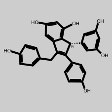 Oc1ccc(CC2=C(c3ccc(O)cc3)[C@@H](c3cc(O)cc(O)c3)c3c(O)cc(O)cc32)cc1